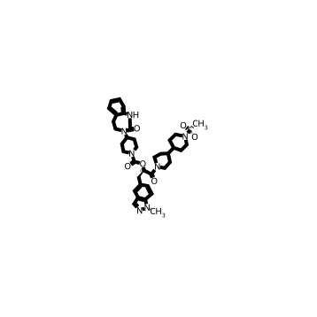 Cn1ncc2cc(C[C@@H](OC(=O)N3CCC(N4CCc5ccccc5NC4=O)CC3)C(=O)N3CCC(C4CCN(S(C)(=O)=O)CC4)CC3)ccc21